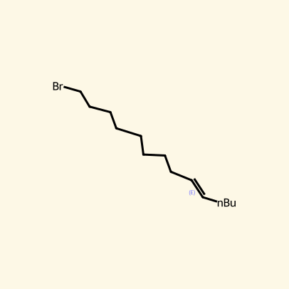 CCCC/C=C/CCCCCCCCBr